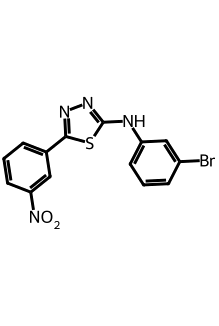 O=[N+]([O-])c1cccc(-c2nnc(Nc3cccc(Br)c3)s2)c1